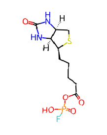 O=C1N[C@H]2[C@H](CS[C@H]2CCCCC(=O)OP(=O)(O)F)N1